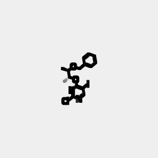 C[C@@H](OCc1ccccc1)[C@@H](C)Oc1nc(Cl)ncc1I